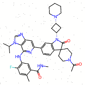 CNC(=O)c1cc(Nc2nc(-c3ccc4c(c3)N([C@H]3C[C@@H](N5CCCCC5)C3)C(=O)C43CCN(C(C)=O)CC3)cc3ncn(C(C)C)c23)c(F)cc1C